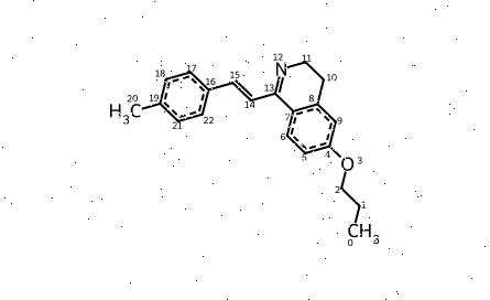 CCCOc1ccc2c(c1)CCN=C2C=Cc1ccc(C)cc1